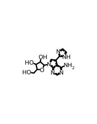 Nc1ncnc2c1c(-c1ncc[nH]1)cn2C1OC(CO)C(O)C1O